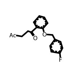 CC(=O)CCC(=O)c1ccccc1OCc1ccc(F)cc1